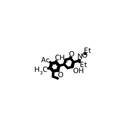 CCON=C(CC)C1=C(O)CC(c2c(C)c(C(C)=O)c(C)c3c2OCC3)CC1=O